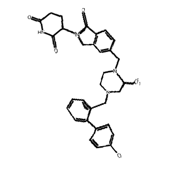 O=C1CCC(N2Cc3cc(CN4CCN(Cc5ccccc5-c5ccc(Cl)cc5)CC4C(F)(F)F)ccc3C2=O)C(=O)N1